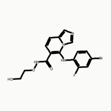 O=C(NOCCO)c1ccc2cncn2c1Nc1ccc(Br)cc1F